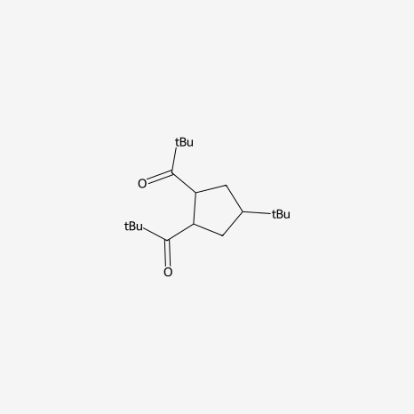 CC(C)(C)C(=O)C1CC(C(C)(C)C)CC1C(=O)C(C)(C)C